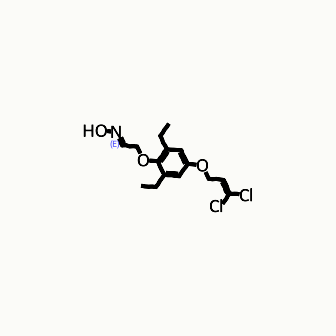 CCc1cc(OCC=C(Cl)Cl)cc(CC)c1OC/C=N/O